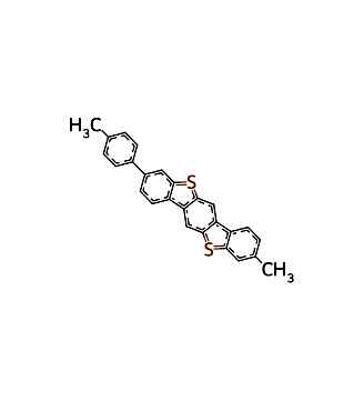 Cc1ccc(-c2ccc3c(c2)sc2cc4c(cc23)sc2cc(C)ccc24)cc1